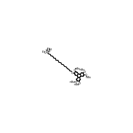 CCCCOc1cc2c3cc(OCCCC)c(OCCCC)cc3c3cc(OCCCCCCCCCCCCCCCCCC[Si](OCC)(OCC)OCC)c(OCCCC)cc3c2cc1OCCCC